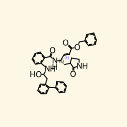 O=C(/C=C/[C@H](CC1CCNC1=O)NC(=O)c1ccccc1NC(O)Cc1ccccc1-c1ccccc1)OCc1ccccc1